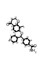 Cc1c(OC(c2ccncc2)c2ccc(C(N)=O)cc2)ccc2c1OCCC2=O